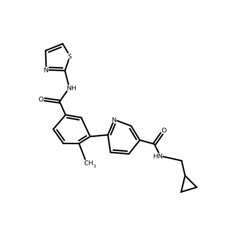 Cc1ccc(C(=O)Nc2nccs2)cc1-c1ccc(C(=O)NCC2CC2)cn1